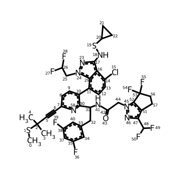 CSC(C)(C)C#Cc1ccc(-c2ccc(Cl)c3c(NSC4CC4)nn(CC(F)F)c23)c(C(Cc2cc(F)cc(F)c2)NC(=O)Cn2nc(C(F)F)c3c2C(F)(F)CC3)n1